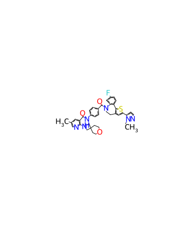 CCn1nccc1-c1cc2c(s1)-c1ccc(F)cc1N(C(=O)c1ccc(NC(=O)c3cc(C)cnc3N3CC4(CCOCC4)C3)cc1)CC2